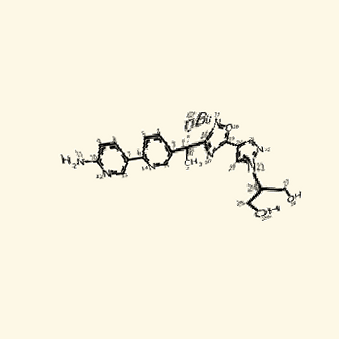 CCCC[C@](C)(c1ccc(-c2ccc(N)nc2)nc1)c1noc(-c2cnn(C(CO)CO)c2)n1